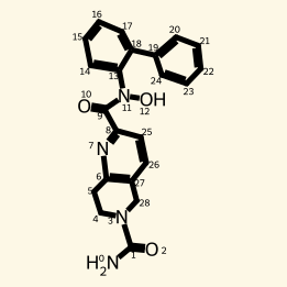 NC(=O)N1CCc2nc(C(=O)N(O)c3ccccc3-c3ccccc3)ccc2C1